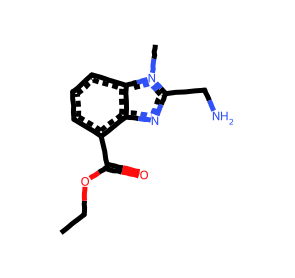 CCOC(=O)c1cccc2c1nc(CN)n2C